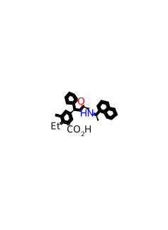 CCc1c(C)cc([C@@H]2C[C@H](CN[C@H](C)c3cccc4ccccc34)Oc3ccccc32)cc1C(=O)O